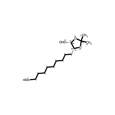 CCCCCCCCCCCCCCCCCCC[C@H]1OC(C)(C)O[C@H]1C=O